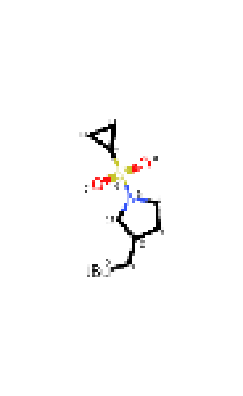 CC(C)(C)CC1CCN(S(=O)(=O)C2CC2)C1